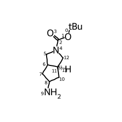 CC(C)(C)OC(=O)N1CC2CC(N)C[C@@H]2C1